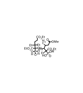 CCOC(=O)C(CC)(C(CC)C(C)CC(=O)OC)P(=O)(O)O.CCOC(=O)CCC(CC)(CC)C(C)(C(=O)OCC)P(=O)(O)O